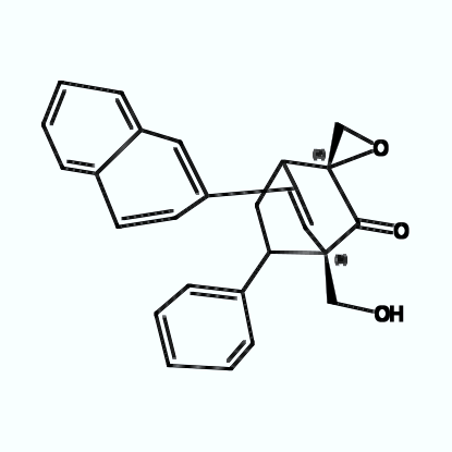 O=C1[C@@]2(CO)C=C(c3ccc4ccccc4c3)C(CC2c2ccccc2)[C@@]12CO2